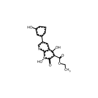 CCOC(=O)c1c(O)c2cc(-c3cccc(O)c3)cnc2n(O)c1=O